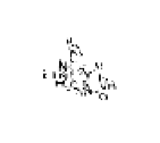 Cc1n[nH]c(C)c1Sc1n[nH]c(=O)[nH]c1=O